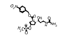 CS(=O)(=O)O[C@@H]1C[C@@H](C(O)CCNC(N)=O)N(C(=O)OCc2ccc([N+](=O)[O-])cc2)C1